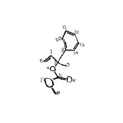 C=CC(C)(OC(=O)OC)c1ccccc1